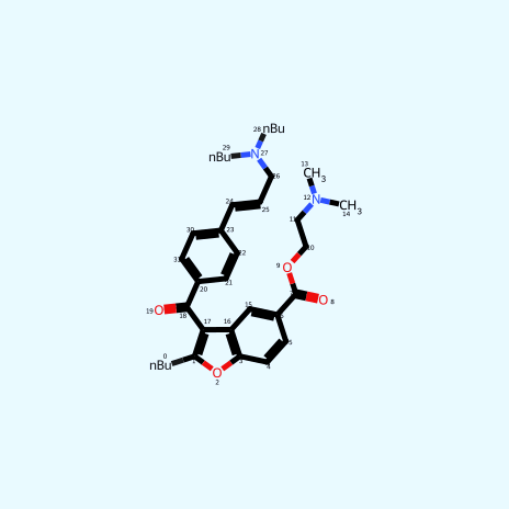 CCCCc1oc2ccc(C(=O)OCCN(C)C)cc2c1C(=O)c1ccc(C=CCN(CCCC)CCCC)cc1